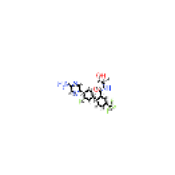 C[C@@H](CO)NC(=O)c1cc(C(F)(F)F)ccc1-c1ccc(-c2cnc(N)cn2)c(F)c1